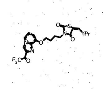 CCCC=C1SC(=O)N(CCCCOc2cccn3cc(C(=O)C(F)(F)F)nc23)C1=O